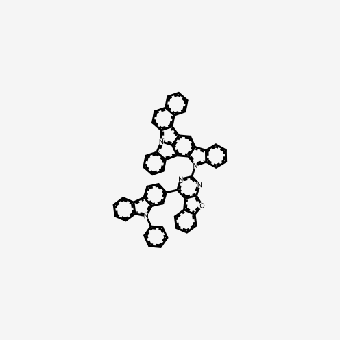 c1ccc(-n2c3ccccc3c3ccc(-c4nc(-n5c6ccccc6c6cc7c8c9ccccc9ccc8n8c9ccccc9c(c65)c78)nc5oc6ccccc6c45)cc32)cc1